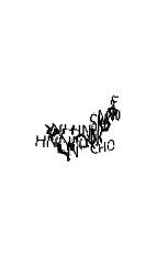 Cc1cc(Nc2cc(C)[nH]n2)nc(N2CCC3(CC2)N[C@H](S)N(C(C)c2ccc(-n4cc(F)cn4)nc2)C3C=O)n1